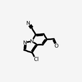 N#Cc1cc(C=O)cc2c(Cl)cnn12